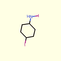 INC1CCC(I)CC1